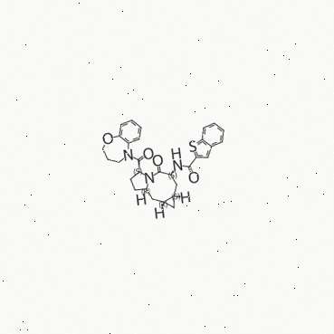 O=C(N[C@H]1C[C@@H]2C[C@@H]2C[C@H]2CC[C@@H](C(=O)N3CCCOc4ccccc43)N2C1=O)c1cc2ccccc2s1